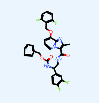 Cc1nc2c(OCc3c(F)cccc3F)cccn2c1C(=O)NCC(NC(=O)OCc1ccccc1)c1ccc(F)c(F)c1